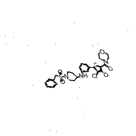 [O]c1c(C(=O)N2CCOCC2)sc(-c2cccc(NC3CCN(S(=O)(=O)Cc4ccccc4)CC3)c2)c1Cl